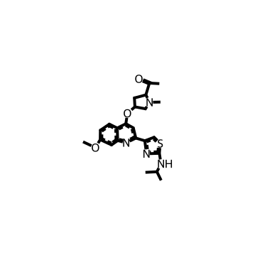 COc1ccc2c(OC3CC(C(C)=O)N(C)C3)cc(-c3csc(NC(C)C)n3)nc2c1